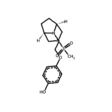 CS(=O)(=O)N1C[C@H]2CC[C@@H](C1)N2CCOc1ccc(O)cc1